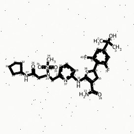 CC(C)(O)c1cc(F)c(C2CC(C(N)=O)=C(Nc3cccc(CN(CC(=O)NC4CCCC4)S(C)(=O)=O)n3)S2)c(F)c1